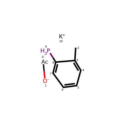 CC(=O)[O-].Cc1ccccc1P.[K+]